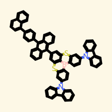 c1ccc2c(-c3ccc(-c4c5ccccc5c(-c5cc6c7c(c5)Sc5cc(-n8c9ccccc9c9ccccc98)ccc5B7c5ccc(-n7c8ccccc8c8ccccc87)cc5S6)c5ccccc45)cc3)cccc2c1